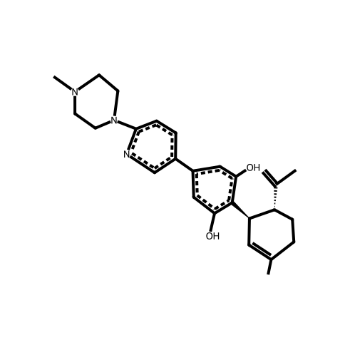 C=C(C)[C@@H]1CCC(C)=C[C@H]1c1c(O)cc(-c2ccc(N3CCN(C)CC3)nc2)cc1O